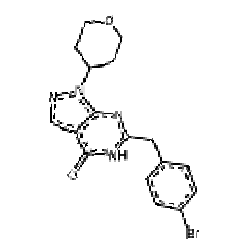 O=c1[nH]c(Cc2ccc(Br)cc2)nc2c1cnn2C1CCOCC1